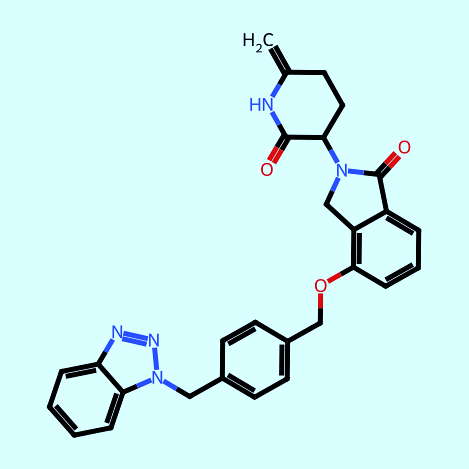 C=C1CCC(N2Cc3c(OCc4ccc(Cn5nnc6ccccc65)cc4)cccc3C2=O)C(=O)N1